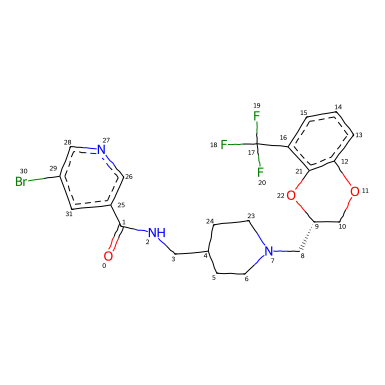 O=C(NCC1CCN(C[C@H]2COc3cccc(C(F)(F)F)c3O2)CC1)c1cncc(Br)c1